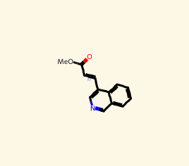 COC(=O)/C=C/c1cncc2ccccc12